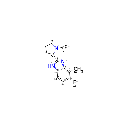 CCCN1CCCC1c1nc2c(C)c(CC)ccc2[nH]1